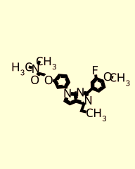 CCc1nc(-c2ccc(OC)c(F)c2)nc2c1ccn2-c1cccc(OCC(=O)N(C)C)c1